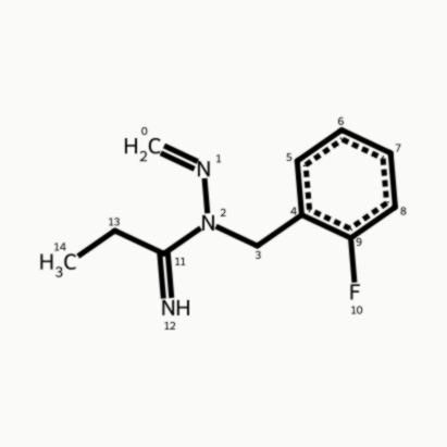 C=NN(Cc1ccccc1F)C(=N)CC